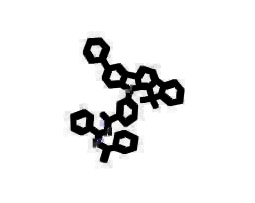 C=C(/N=C(\N=C(/C)c1cccc(-n2c3ccc(-c4ccccc4)cc3c3ccc4c(c32)C(C)(C)c2ccccc2-4)c1)c1ccccc1)c1ccccc1